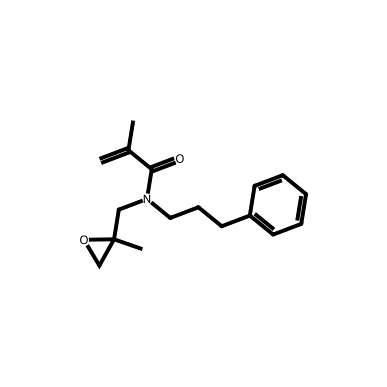 C=C(C)C(=O)N(CCCc1ccccc1)CC1(C)CO1